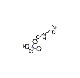 CC/C(=C(\c1ccncc1)c1ccc(OCCNCC=CC(=O)N(C)C)cc1)c1ccccc1